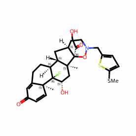 CSc1ccc(CN2CC[C@@H]3C[C@H]4[C@@H]5CCC6=CC(=O)C=C[C@]6(C)[C@@]5(F)[C@@H](O)C[C@]4(C)[C@]3(C(=O)CO)O2)s1